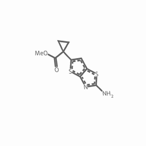 COC(=O)C1(c2cc3sc(N)nc3s2)CC1